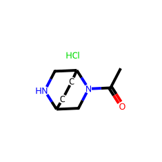 CC(=O)N1CC2CCC1CN2.Cl